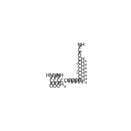 C.C.C.C.C.C.C.C.C.C.C.C.N=C=O.N=C=O.N=C=O.N=C=O